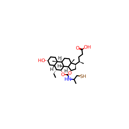 CC[C@H]1[C@@H](OC(=O)NC(C)CS)[C@@H]2[C@H](CC[C@]3(C)[C@@H]([C@H](C)CCC(=O)O)CC[C@@H]23)[C@@]2(C)CC[C@@H](O)C[C@@H]12